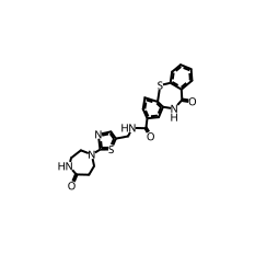 O=C1CCN(c2ncc(CNC(=O)c3ccc4c(c3)NC(=O)c3ccccc3S4)s2)CCN1